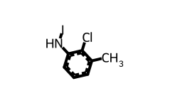 Cc1cccc(NI)c1Cl